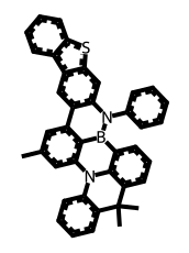 Cc1cc2c3c(c1)N1c4ccccc4C(C)(C)c4cccc(c41)B3N(c1ccccc1)c1cc3sc4ccccc4c3cc1-2